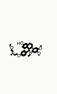 CCOCCN(C)CCOc1ccc(CN(CC)C2C=C(OC)C(OC)=CC2[C@@H]2CCc3cc(O)ccc3C2)cc1